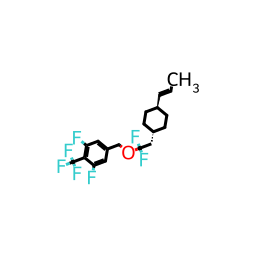 C/C=C/[C@H]1CC[C@H](CC(F)(F)OCc2cc(F)c(C(F)(F)F)c(F)c2)CC1